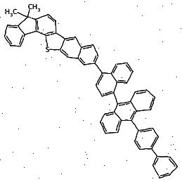 CC1(C)c2ccccc2-c2c1ccc1c2sc2cc3cc(-c4ccc(-c5c6ccccc6c(-c6ccc(-c7ccccc7)cc6)c6ccccc56)c5ccccc45)ccc3cc21